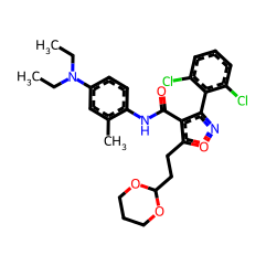 CCN(CC)c1ccc(NC(=O)c2c(-c3c(Cl)cccc3Cl)noc2CCC2OCCCO2)c(C)c1